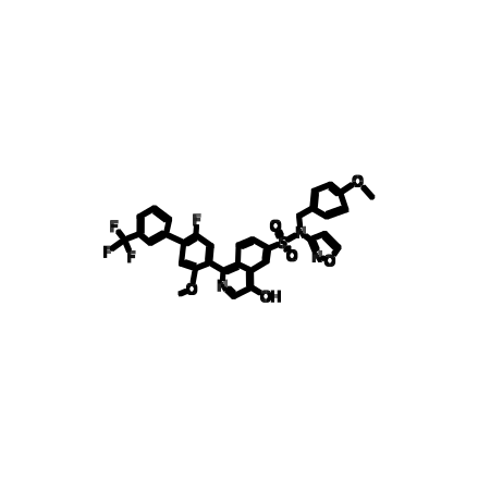 COc1ccc(CN(c2ccon2)S(=O)(=O)c2ccc3c(-c4cc(F)c(-c5cccc(C(F)(F)F)c5)cc4OC)ncc(O)c3c2)cc1